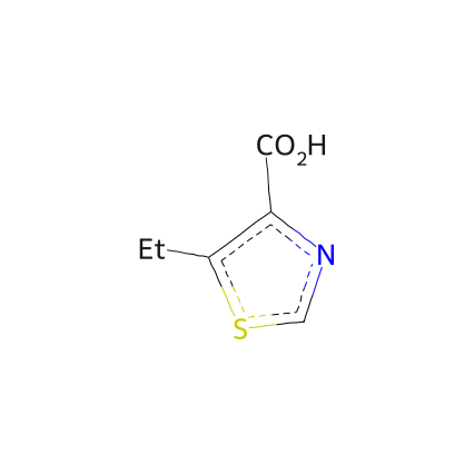 CCc1scnc1C(=O)O